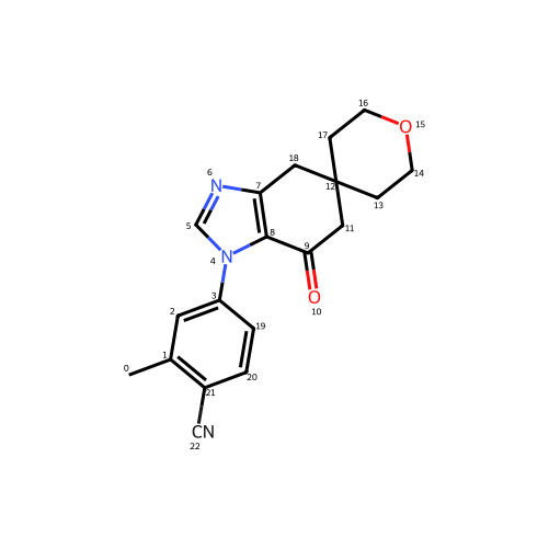 Cc1cc(-n2cnc3c2C(=O)CC2(CCOCC2)C3)ccc1C#N